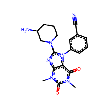 Cn1c(=O)c2c(nc(N3CCCC(N)C3)n2-c2cccc(C#N)c2)n(C)c1=O